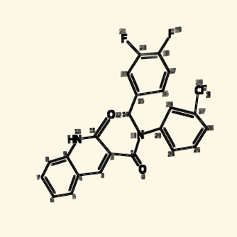 O=C(c1cc2ccccc2[nH]c1=O)N(Cc1ccc(F)c(F)c1)c1cccc(C(F)(F)F)c1